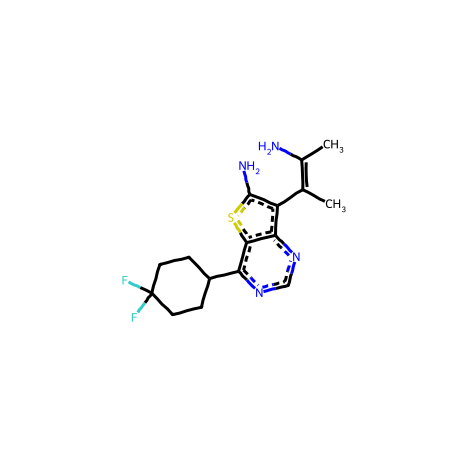 C/C(N)=C(\C)c1c(N)sc2c(C3CCC(F)(F)CC3)ncnc12